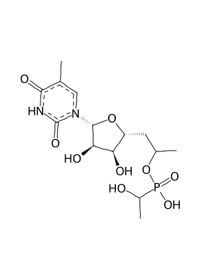 Cc1cn([C@@H]2O[C@H](CC(C)OP(=O)(O)C(C)O)[C@@H](O)[C@H]2O)c(=O)[nH]c1=O